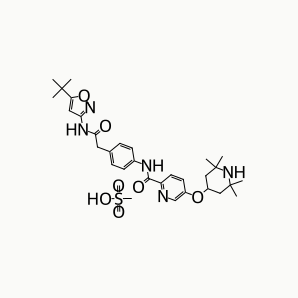 CC1(C)CC(Oc2ccc(C(=O)Nc3ccc(CC(=O)Nc4cc(C(C)(C)C)on4)cc3)nc2)CC(C)(C)N1.CS(=O)(=O)O